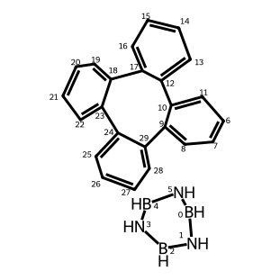 B1NBNBN1.c1ccc2c(c1)-c1ccccc1-c1ccccc1-c1ccccc1-2